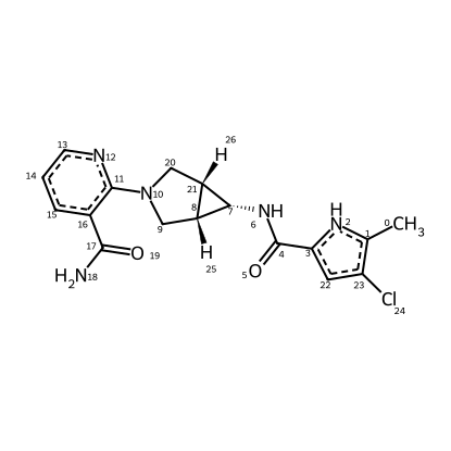 Cc1[nH]c(C(=O)N[C@@H]2[C@@H]3CN(c4ncccc4C(N)=O)C[C@@H]32)cc1Cl